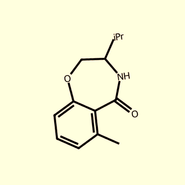 Cc1cccc2c1C(=O)NC(C(C)C)CO2